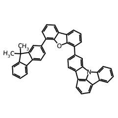 CC1(C)c2ccccc2-c2ccc(-c3cccc4c3oc3c(-c5ccc6c7cccc8c9ccccc9n(c6c5)c87)cccc34)cc21